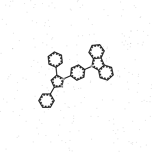 c1ccc(-c2cc(-c3ccccc3)n(-c3ccc(-n4c5ccccc5c5ccccc54)cc3)n2)cc1